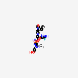 CC(C)c1ccccc1[C@@H]1CO[C@H](C)CN1C1CC2(CCN(c3ccc(C(=O)NS(=O)(=O)c4cnc(NCC5CCC(C)(O)CC5)c([N+](=O)[O-])c4)c(Oc4cnc5[nH]cc(F)c5c4)c3)CC2)C1